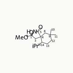 COC(=O)CC1(C(N)=O)CC(C)(C)CCC1C(C)C